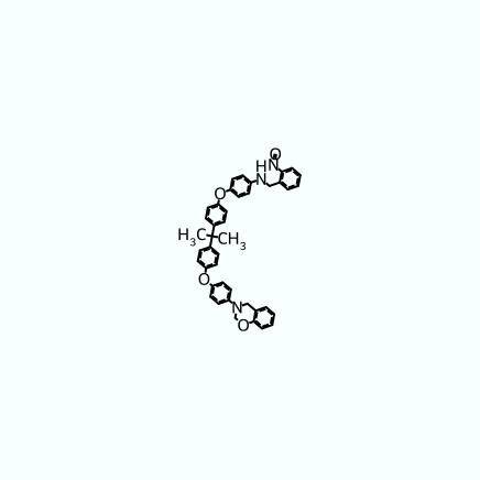 CC(C)(c1ccc(Oc2ccc(NCc3ccccc3N=O)cc2)cc1)c1ccc(Oc2ccc(N3COc4ccccc4C3)cc2)cc1